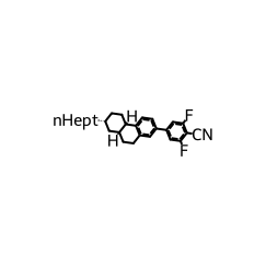 CCCCCCC[C@@H]1CC[C@@H]2c3ccc(-c4cc(F)c(C#N)c(F)c4)cc3CC[C@H]2C1